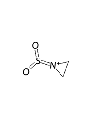 O=S(=O)=[N+]1CC1